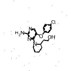 Nc1ncc(Oc2ccc(Cl)cc2)c(N2CCCCC2CCO)n1